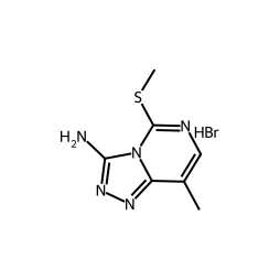 Br.CSc1ncc(C)c2nnc(N)n12